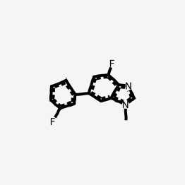 Cn1cnc2c(F)cc(-c3[c]ccc(F)c3)cc21